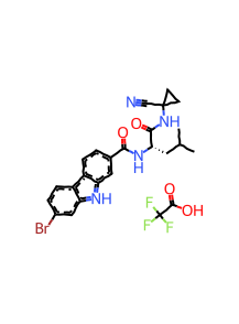 CC(C)C[C@H](NC(=O)c1ccc2c(c1)[nH]c1cc(Br)ccc12)C(=O)NC1(C#N)CC1.O=C(O)C(F)(F)F